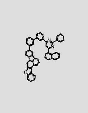 c1ccc(-c2nc(-c3cccc(-c4cccc(-c5ccc6c(c5)-c5cccc7c5c-6cc5oc6ccccc6c57)c4)c3)cc(-c3cccc4ccccc34)n2)cc1